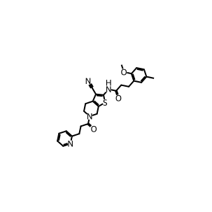 COc1ccc(C)cc1CCC(=O)Nc1sc2c(c1C#N)CCN(C(=O)CCc1ccccn1)C2